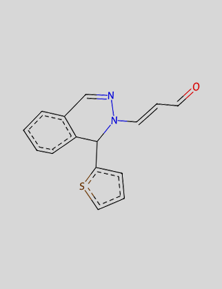 O=CC=CN1N=Cc2ccccc2C1c1cccs1